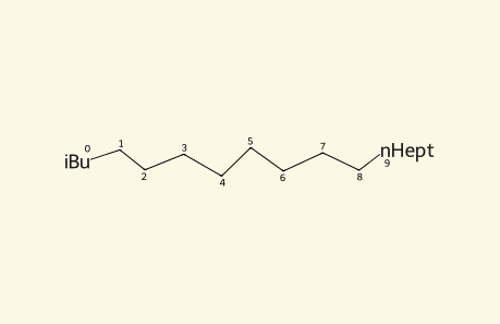 [CH2]CC(C)CCCCCCCCCCCCCCC